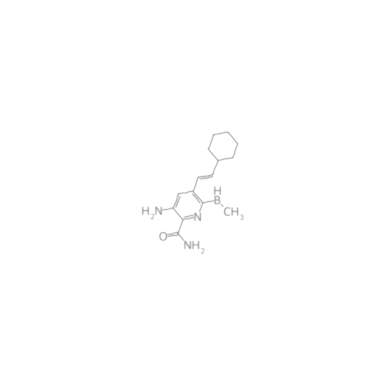 CBc1nc(C(N)=O)c(N)cc1/C=C/C1CCCCC1